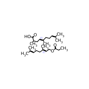 CC(C)=CCC/C(C)=C/CC(C)C(=O)O.CCC(=O)OC/C=C(\C)CCC=C(C)C